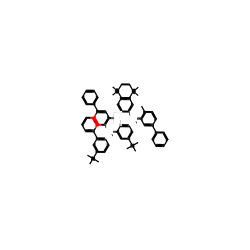 Cc1ccc(-c2ccccc2)cc1N1c2cc3c(cc2B2c4cc(-c5ccccc5)ccc4N(c4ccc(C(C)(C)C)cc4-c4ccccc4)c4cc(C(C)(C)C)cc1c42)C(C)(C)CCC3(C)C